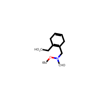 CC(C)(C)ON(C=O)CC1=C(CC(=O)O)CC=CC1